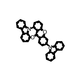 O=c1c2ccc(-n3c4ccccc4c4ccccc43)cc2oc2cccc(-n3c4ccccc4c4ccccc43)c12